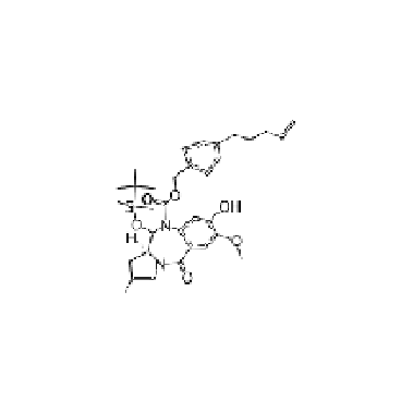 C=CCCCc1ccc(COC(=O)N2c3cc(O)c(OC)cc3C(=O)N3C=C(C)C[C@H]3C2O[Si](C)(C)C(C)(C)C)cc1